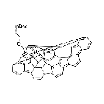 CCCCCCCCCCCCOc1ccc(C2(c3ccc(C)cc3)C34C5=C6C=CC7c8ccc9c%10ccc%11c%12ccc%13c%14c(c%15c%16c3c6c7c3c8c9c6c%10c%11c(c%14%12)c%15c6c3%16)C42C%13C=C5)cc1